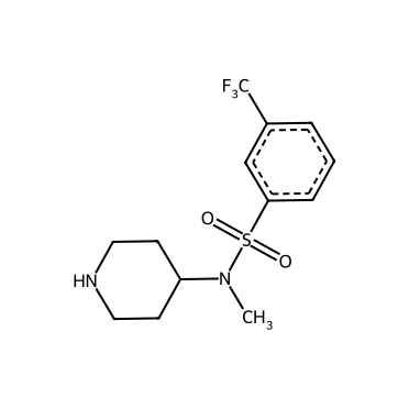 CN(C1CCNCC1)S(=O)(=O)c1cccc(C(F)(F)F)c1